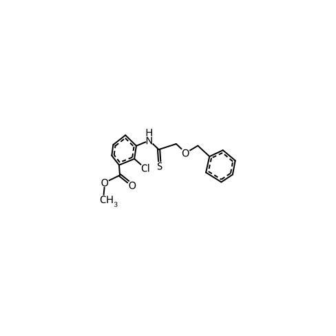 COC(=O)c1cccc(NC(=S)COCc2ccccc2)c1Cl